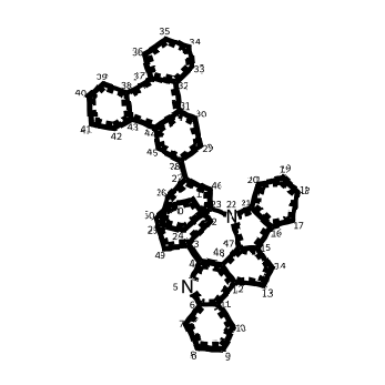 c1ccc(-c2nc3ccccc3c3ccc4c5ccccc5n(-c5cccc(-c6ccc7c8ccccc8c8ccccc8c7c6)c5)c4c23)cc1